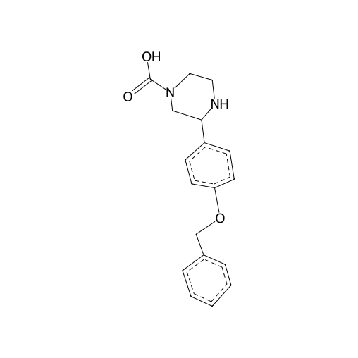 O=C(O)N1CCNC(c2ccc(OCc3ccccc3)cc2)C1